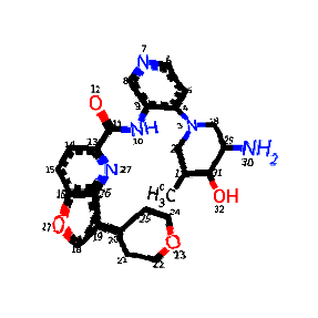 CC1CN(c2ccncc2NC(=O)c2ccc3occ(C4CCOCC4)c3n2)CC(N)C1O